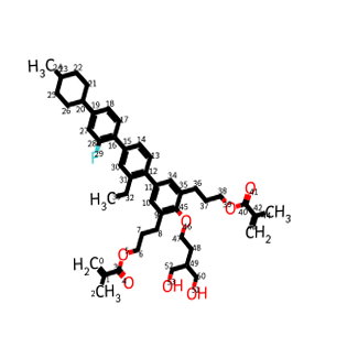 C=C(C)C(=O)OCCCc1cc(-c2ccc(-c3ccc(C4CCC(C)CC4)cc3F)cc2CC)cc(CCCOC(=O)C(=C)C)c1OCCC(CO)CO